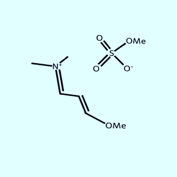 COC=CC=[N+](C)C.COS(=O)(=O)[O-]